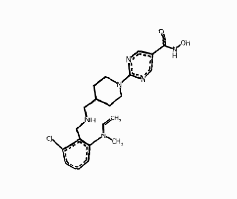 C=CN(C)c1cccc(Cl)c1CNCC1CCN(c2ncc(C(=O)NO)cn2)CC1